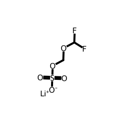 O=S(=O)([O-])OCOC(F)F.[Li+]